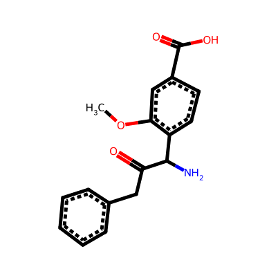 COc1cc(C(=O)O)ccc1C(N)C(=O)Cc1ccccc1